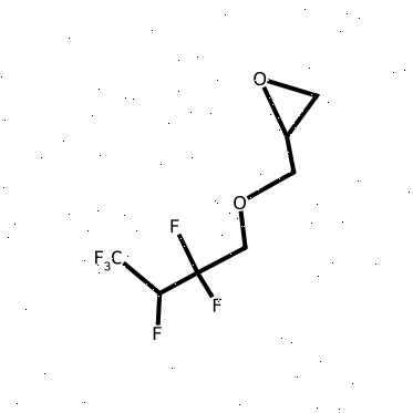 FC(C(F)(F)F)C(F)(F)COCC1CO1